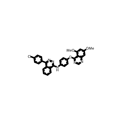 COc1cc(OC)c2c(Oc3ccc(Nc4nnc(-c5ccc(Cl)cc5)c5ccccc45)cc3)ncnc2c1